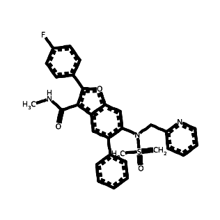 C=S(C)(=O)N(Cc1ccccn1)c1cc2oc(-c3ccc(F)cc3)c(C(=O)NC)c2cc1-c1ccccc1